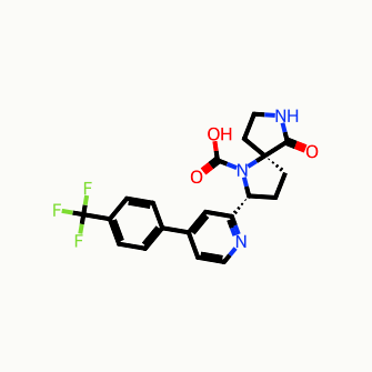 O=C(O)N1[C@@H](c2cc(-c3ccc(C(F)(F)F)cc3)ccn2)CC[C@@]12CCNC2=O